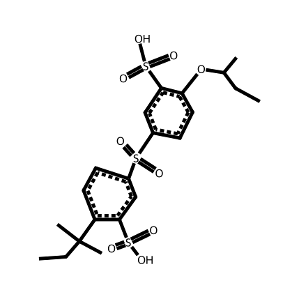 CCC(C)Oc1ccc(S(=O)(=O)c2ccc(C(C)(C)CC)c(S(=O)(=O)O)c2)cc1S(=O)(=O)O